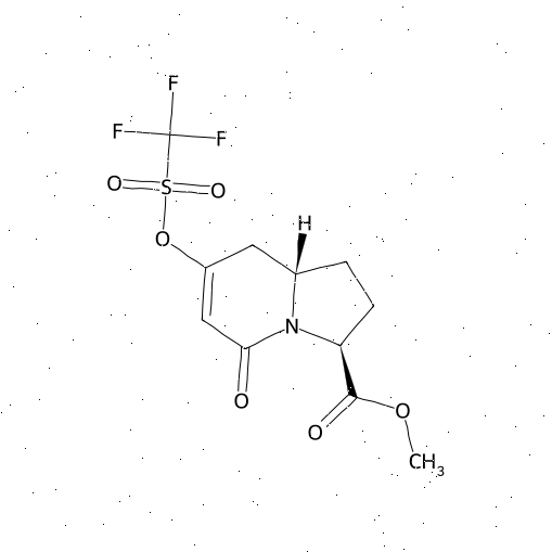 COC(=O)[C@@H]1CC[C@H]2CC(OS(=O)(=O)C(F)(F)F)=CC(=O)N21